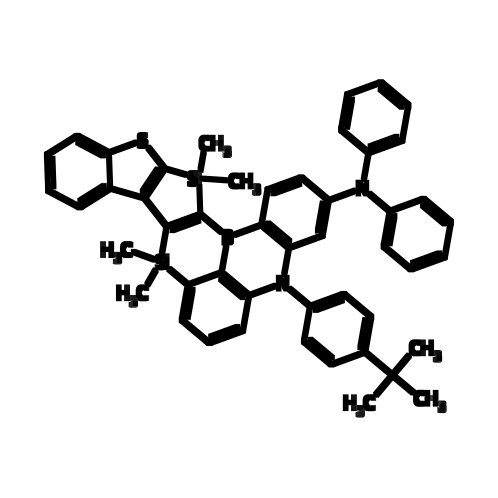 CC(C)(C)c1ccc(N2c3cc(N(c4ccccc4)c4ccccc4)ccc3B3C4=C(c5c(sc6ccccc56)[Si]4(C)C)[Si](C)(C)c4cccc2c43)cc1